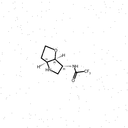 O=C(N[C@@H]1CN[C@H]2CCO[C@H]21)C(F)(F)F